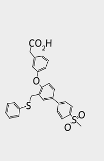 CS(=O)(=O)c1ccc(-c2ccc(Oc3cccc(CC(=O)O)c3)c(CSc3ccccc3)c2)cc1